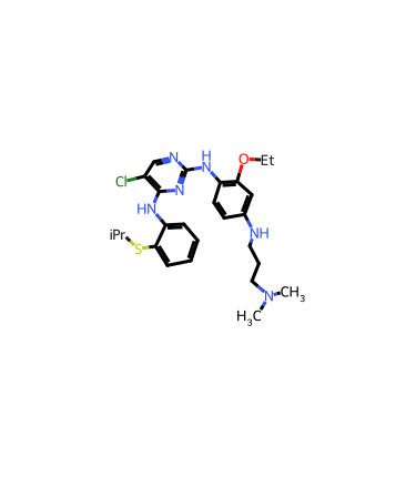 CCOc1cc(NCCCN(C)C)ccc1Nc1ncc(Cl)c(Nc2ccccc2SC(C)C)n1